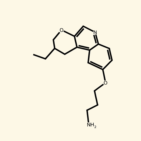 CCC1COc2cnc3ccc(OCCCN)cc3c2C1